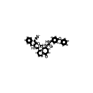 [N-]=[N+]=CC(=O)[C@H](Cc1ccccc1)NC(=O)[C@@H]1CCCN2C(=O)CC[C@H](NC(=O)Nc3ccc(Oc4ccccc4)cc3)C(=O)N12